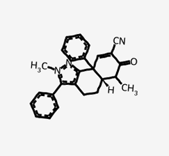 CC1C(=O)C(C#N)=CC2(c3ccccc3)c3nn(C)c(-c4ccccc4)c3CC[C@@H]12